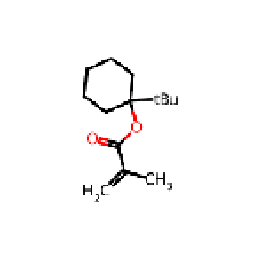 C=C(C)C(=O)OC1(C(C)(C)C)CCCCC1